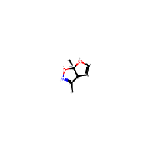 CC1=NO[C@]2(C)OC=CC12